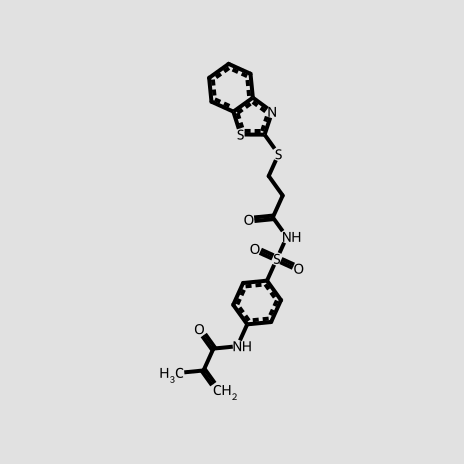 C=C(C)C(=O)Nc1ccc(S(=O)(=O)NC(=O)CCSc2nc3ccccc3s2)cc1